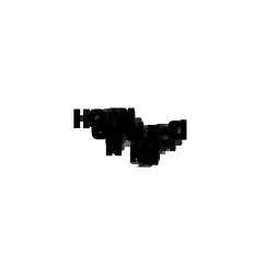 CCn1cncc1Cn1c(CN2CCC(c3nccnc3OCc3ccc(Cl)cc3F)CC2)nc2ccc(C(=O)O)cc21